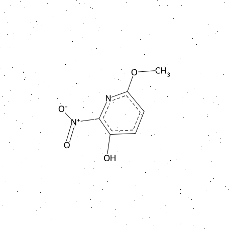 COc1ccc(O)c([N+](=O)[O-])n1